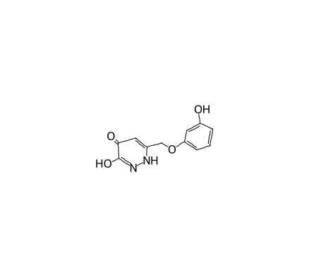 O=c1cc(COc2cccc(O)c2)[nH]nc1O